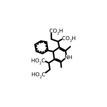 CC1=C(C(CC(=O)O)C(=O)O)C(c2ccccc2)C(C(CC(=O)O)C(=O)O)=C(C)N1